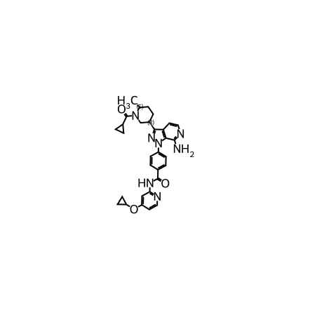 C[C@H]1CC[C@@H](c2nn(-c3ccc(C(=O)Nc4cc(OC5CC5)ccn4)cc3)c3c(N)nccc23)CN1C(=O)C1CC1